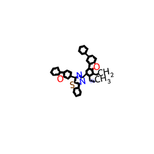 C=Cc1c(/C=C\C)c(-c2nc(-c3ccc4c(c3)oc3ccccc34)c3sc4ccccc4c3n2)cc2c1oc1ccc(-c3ccccc3)cc12